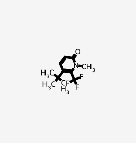 Cn1c(C(F)(F)F)c(C(C)(C)C)ccc1=O